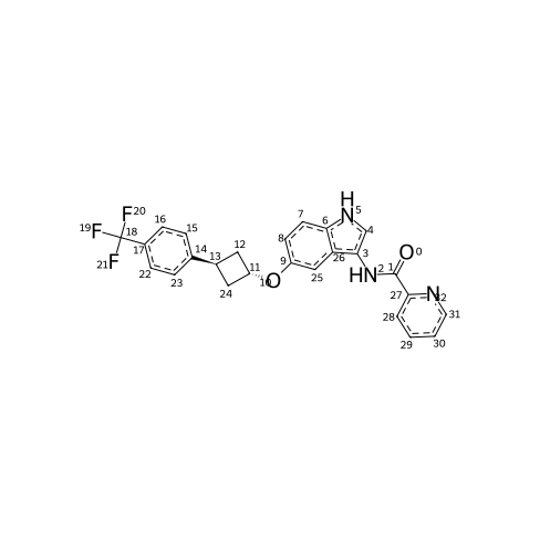 O=C(Nc1c[nH]c2ccc(O[C@H]3C[C@H](c4ccc(C(F)(F)F)cc4)C3)cc12)c1ccccn1